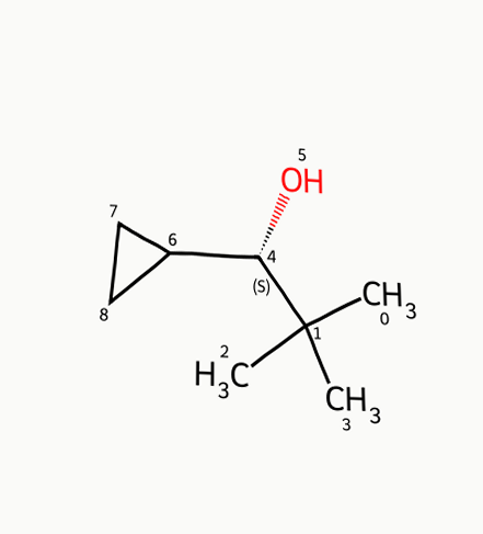 CC(C)(C)[C@@H](O)C1CC1